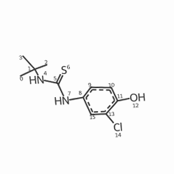 CC(C)(C)NC(=S)Nc1ccc(O)c(Cl)c1